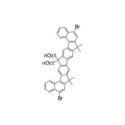 CCCCCCCCC1(CCCCCCCC)c2cc3c(cc2-c2cc4c(cc21)-c1c(cc(Br)c2ccccc12)C4(C)C)C(C)(C)c1cc(Br)c2ccccc2c1-3